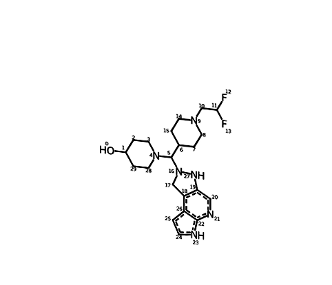 OC1CCN(C(C2CCN(CC(F)F)CC2)N2Cc3c(cnc4[nH]ccc34)N2)CC1